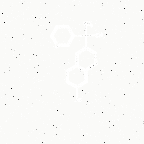 CC(=O)c1ccc2cc(C(C)(O)c3cccnc3)ccc2c1